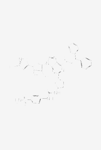 CCc1cc(C2OC(n3cnc4c(NCC(c5ccccc5)c5ccccc5)nc(N5CCC(NC(=O)Nc6ccc(S(N)(=O)=O)cc6)C5)nc43)C(O)C2O)on1